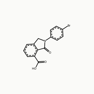 O=C(O)c1cccc2c1C(=O)N(c1ccc(Br)cc1)C2